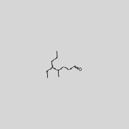 CCCC(CC)C(C)CC[C]=O